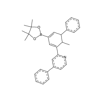 CC1C(c2cc(-c3ccccc3)ccn2)=CC(B2OC(C)(C)C(C)(C)O2)=CC1c1ccccc1